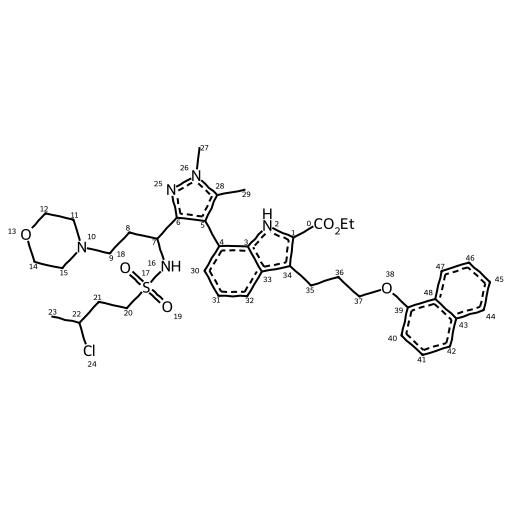 CCOC(=O)c1[nH]c2c(-c3c(C(CCN4CCOCC4)NS(=O)(=O)CCC(C)Cl)nn(C)c3C)cccc2c1CCCOc1cccc2ccccc12